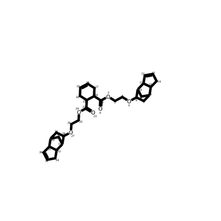 O=C(OCCOC1CC2CC1C1C=CCC21)C1CC=CCC1C(=O)OCCOC1CC2CC1C1CC=CC21